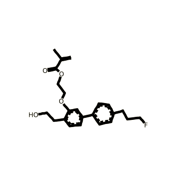 C=C(C)C(=O)OCCOc1cc(-c2ccc(CCCF)cc2)ccc1CCO